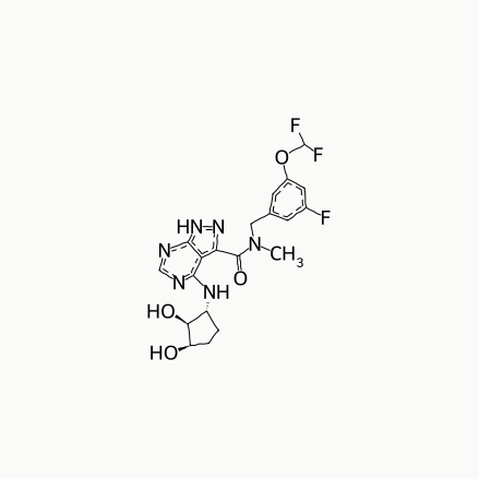 CN(Cc1cc(F)cc(OC(F)F)c1)C(=O)c1n[nH]c2ncnc(N[C@@H]3CC[C@@H](O)[C@H]3O)c12